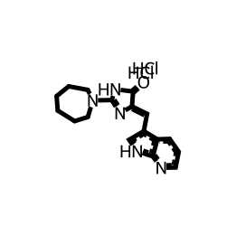 Cl.Cl.O=C1NC(N2CCCCCC2)=NC1=Cc1c[nH]c2ncccc12